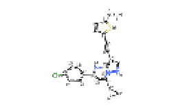 O=S(=O)(O)c1ccc(C#Cc2cnn3c(C4CC4)cc(-c4ccc(Cl)cc4)nc23)s1